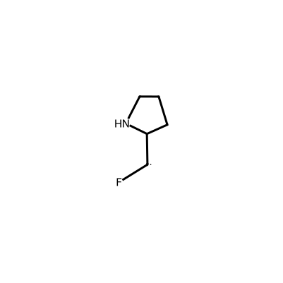 F[CH]C1CCCN1